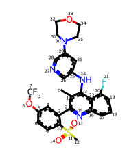 Cc1c(-c2cc(OC(F)(F)F)ccc2S(C)(=O)=O)nc2cccc(F)c2c1Nc1cncc(N2CCOCC2)c1